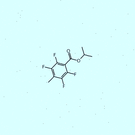 [CH2]c1c(F)c(F)c(C(=O)OC(C)C)c(F)c1F